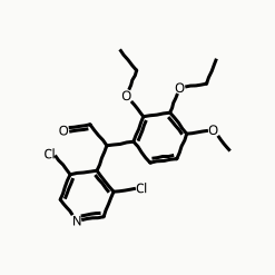 CCOc1c(OC)ccc(C(C=O)c2c(Cl)cncc2Cl)c1OCC